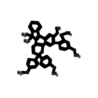 COc1ccc(C2(c3ccc(OC)cc3)C=Cc3c4c(c5cc(CO)c(-c6ccc(OC)cc6OC)cc5c3O2)-c2ccccc2C4(C)C)cc1